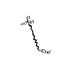 CCCCCCCCCCCCCCCCCCCCCC=CNC(O)CC